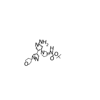 CC(C)(C)OC(=O)N[C@H]1CCCN(c2cc(N)ncc2-c2cnn(C3CCOCC3)c2)C1